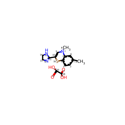 Cc1ccc2c(c1)N(C)C=C(C1=NCCN1)S2.O=C(O)C(=O)O